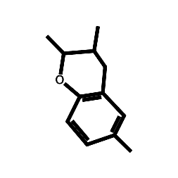 Cc1ccc2c(c1)CC(C)C(C)O2